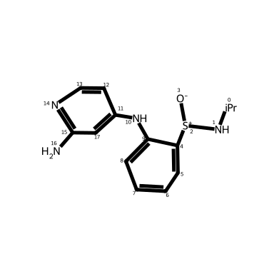 CC(C)N[S+]([O-])c1ccccc1Nc1ccnc(N)c1